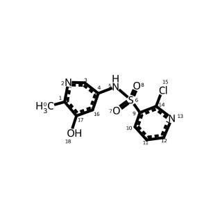 Cc1ncc(NS(=O)(=O)c2cccnc2Cl)cc1O